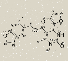 CC1=C(C(=O)OCc2ccc3c(c2)OCO3)C(c2ccco2)NC(=O)N1C